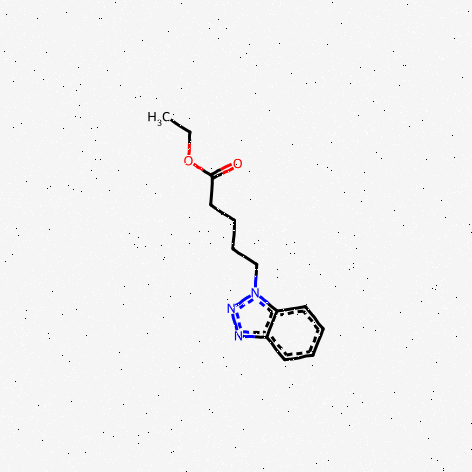 CCOC(=O)CCCCn1nnc2ccccc21